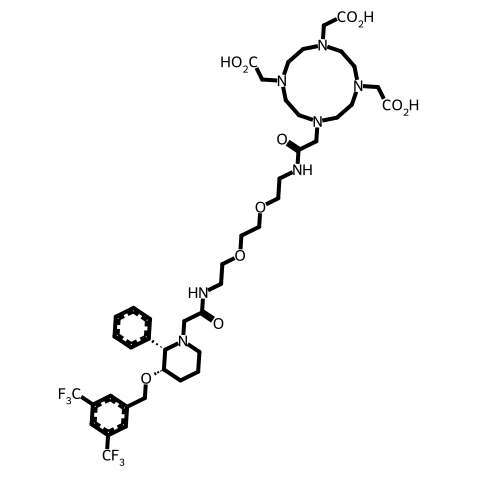 O=C(O)CN1CCN(CC(=O)O)CCN(CC(=O)NCCOCCOCCNC(=O)CN2CCC[C@H](OCc3cc(C(F)(F)F)cc(C(F)(F)F)c3)[C@@H]2c2ccccc2)CCN(CC(=O)O)CC1